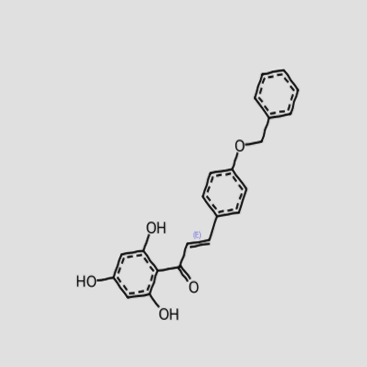 O=C(/C=C/c1ccc(OCc2ccccc2)cc1)c1c(O)cc(O)cc1O